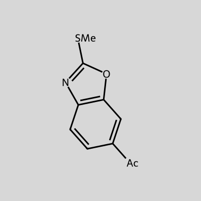 CSc1nc2ccc(C(C)=O)cc2o1